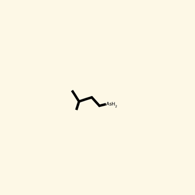 CC(C)CC[AsH2]